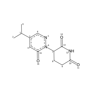 CC(C)c1cnn(C2CCC(=O)NC2=O)c(=O)c1